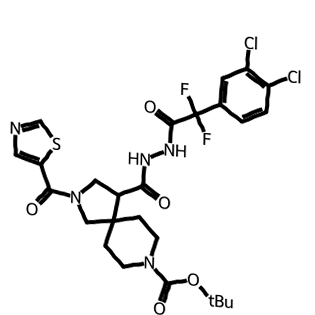 CC(C)(C)OC(=O)N1CCC2(CC1)CN(C(=O)c1cncs1)CC2C(=O)NNC(=O)C(F)(F)c1ccc(Cl)c(Cl)c1